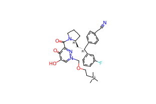 C[Si](C)(C)CCOCn1cc(O)c(=O)c(C(=O)N2CCC[C@H]2[CH][C@H](c2ccc(C#N)cc2)c2cccc(F)c2)n1